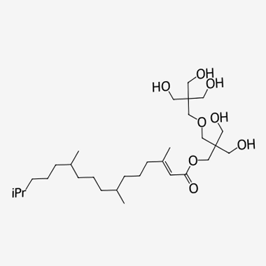 CC(=CC(=O)OCC(CO)(CO)COCC(CO)(CO)CO)CCCC(C)CCCC(C)CCCC(C)C